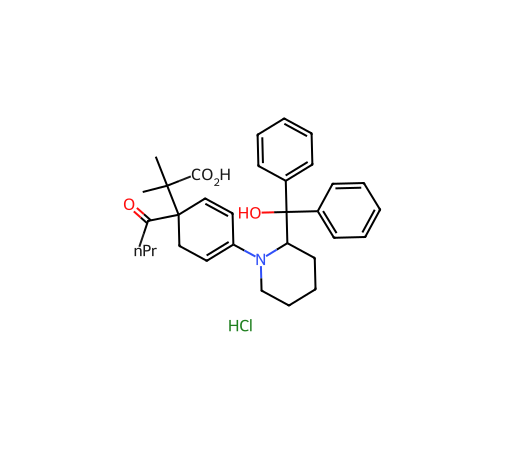 CCCC(=O)C1(C(C)(C)C(=O)O)C=CC(N2CCCCC2C(O)(c2ccccc2)c2ccccc2)=CC1.Cl